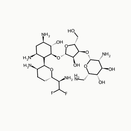 NC[C@@H]1O[C@H](O[C@H]2[C@@H](O)[C@H](O[C@H]3C([C@H]4O[C@H]([C@@H](N)C(F)F)CC[C@H]4N)[C@@H](N)C[C@@H](N)[C@@H]3O)O[C@@H]2CO)[C@H](N)[C@@H](O)[C@@H]1O